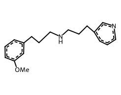 COc1cccc(CCCNCCCc2cccnc2)c1